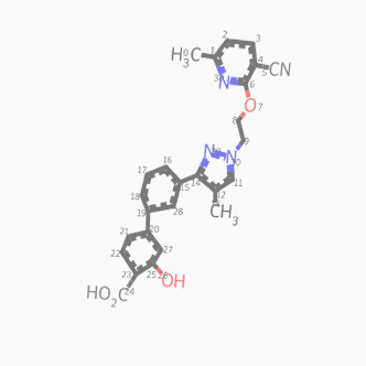 Cc1ccc(C#N)c(OCCn2cc(C)c(-c3cccc(-c4ccc(C(=O)O)c(O)c4)c3)n2)n1